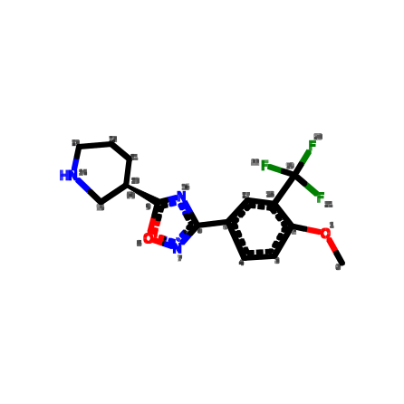 COc1ccc(-c2noc([C@@H]3CCCNC3)n2)cc1C(F)(F)F